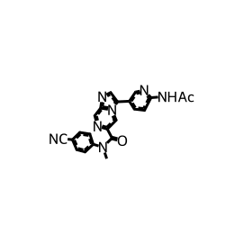 CC(=O)Nc1ccc(-c2cnc3cnc(C(=O)N(C)c4ccc(C#N)cc4)cn23)cn1